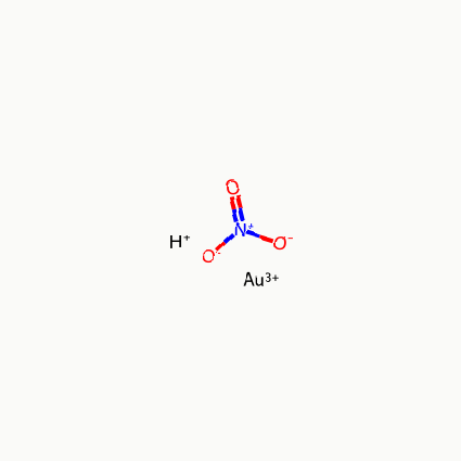 O=[N+]([O-])[O-].[Au+3].[H+]